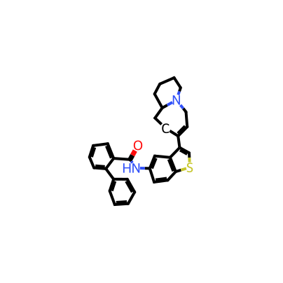 O=C(Nc1ccc2scc(C3=CCN4CCCCC4CC3)c2c1)c1ccccc1-c1ccccc1